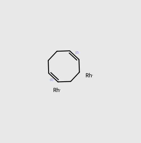 C1=C\CC/C=C\CC/1.[Rh].[Rh]